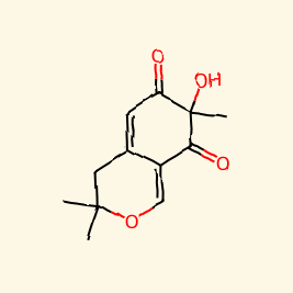 CC1(C)CC2=CC(=O)C(C)(O)C(=O)C2=CO1